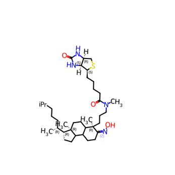 CC(C)CCC[C@@H](C)[C@H]1CCC2C3CC/C(=N/O)[C@](C)(CCCN(C)C(=O)CCCC[C@@H]4SC[C@@H]5NC(=O)N[C@@H]54)C3CC[C@@]21C